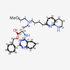 COCCN(CCCCc1ccc2c(n1)NCCC2)CC[C@H](Nc1ncnc2ccccc12)C(=O)OCc1ccccc1